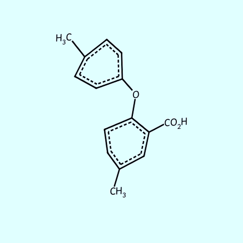 Cc1ccc(Oc2ccc(C)cc2C(=O)O)cc1